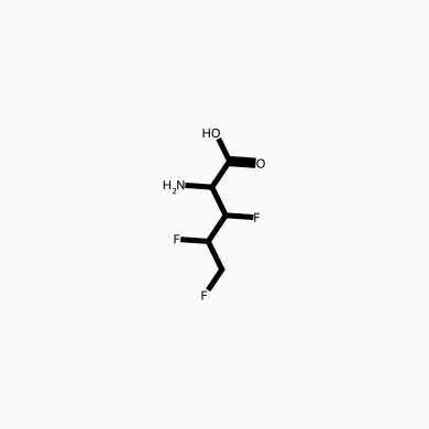 NC(C(=O)O)C(F)C(F)CF